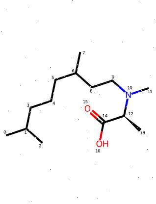 CC(C)CCCC(C)CCN(C)[C@@H](C)C(=O)O